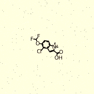 C[N+]1(C)C(C(=O)O)=Cc2c1ccc(OC(F)F)c2Cl